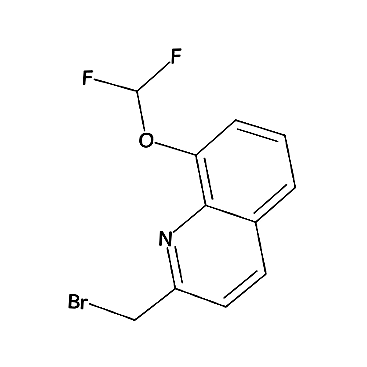 FC(F)Oc1cccc2ccc(CBr)nc12